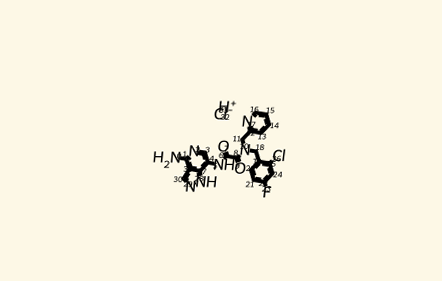 Nc1ncc(NC(=O)C(=O)N(Cc2ccccn2)Cc2ccc(F)cc2Cl)c2[nH]ncc12.[Cl-].[H+]